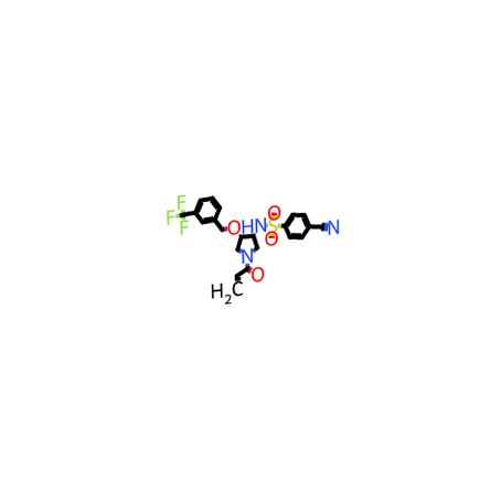 C=CC(=O)N1C[C@@H](NS(=O)(=O)c2ccc(C#N)cc2)[C@H](OCc2cccc(C(F)(F)F)c2)C1